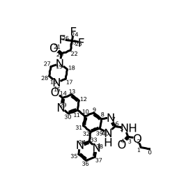 CCOC(=O)Nc1nc2cc(-c3ccc(ON4CCN(C(=O)CC(F)(F)F)CC4)nc3)cc(-c3ncccn3)c2[nH]1